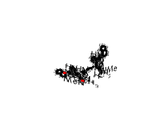 CN[C@@H](C)C(=O)N[C@@H](CCCCNC(=O)C[C@H](NC(=O)[C@H](C)NC)C(=O)N1CCC[C@H]1C(=O)N[C@@H]1CCCc2ccccc21)C(=O)N1CCC[C@H]1C(=O)N[C@@H]1CCCc2ccccc21